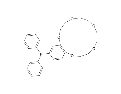 c1ccc(P(c2ccccc2)c2ccc3c(c2)OCCOCCOCCOCCO3)cc1